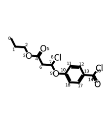 CCCOC(=O)CC(Cl)Oc1ccc(C(=O)Cl)cc1